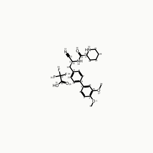 COc1ccc(-c2ccc(C[C@@H](C#N)NC(=O)[C@@H]3CCCCN3)cc2)cc1OC.O=C(O)C(F)(F)F